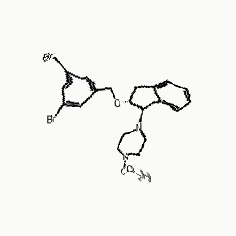 O=C(O)N1CCN([C@@H]2c3ccccc3C[C@H]2OCc2cc(Br)cc(Br)c2)CC1